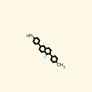 CCCc1ccc(-c2ccc3c(F)c(-c4ccc(C)cc4)ccc3c2)cc1